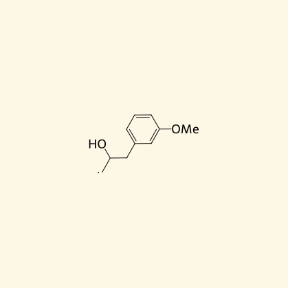 [CH2]C(O)Cc1cccc(OC)c1